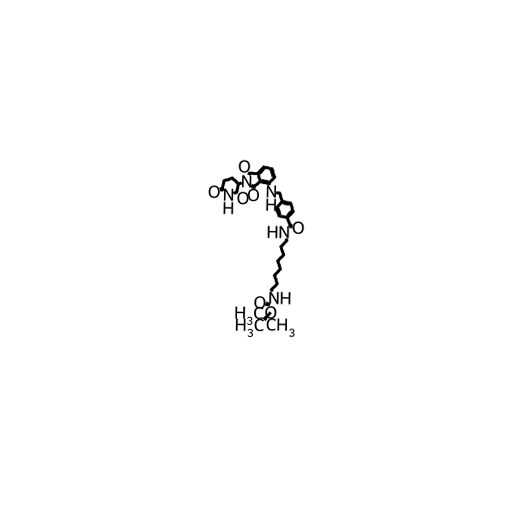 CC(C)(C)OC(=O)NCCCCCCCCNC(=O)c1ccc(CNc2cccc3c2C(=O)N(C2CCC(=O)NC2=O)C3=O)cc1